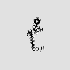 C[C@@H](O)[C@H](C[C@]1(C)COC1COCCCCC(=O)O)OC(=O)c1ccccc1